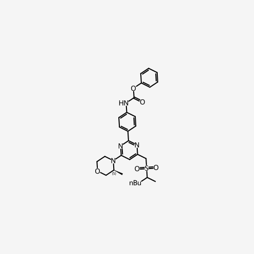 CCCCC(C)S(=O)(=O)Cc1cc(N2CCOC[C@@H]2C)nc(-c2ccc(NC(=O)Oc3ccccc3)cc2)n1